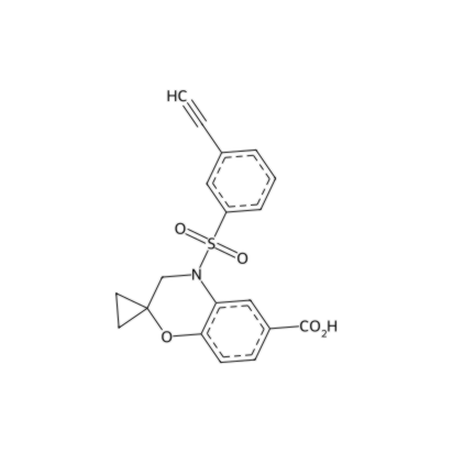 C#Cc1cccc(S(=O)(=O)N2CC3(CC3)Oc3ccc(C(=O)O)cc32)c1